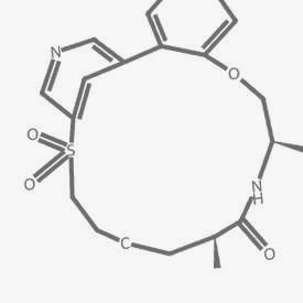 C[C@@H]1COc2ccccc2-c2cncc(c2)S(=O)(=O)CCCC[C@H](C)C(=O)N1